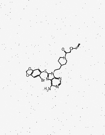 C=POCC(=O)N1CCC(CCn2c(Sc3cc4c(cc3Br)OCO4)nc3c(N)ncnc32)CC1